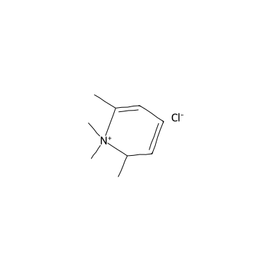 CC1=CC=CC(C)[N+]1(C)C.[Cl-]